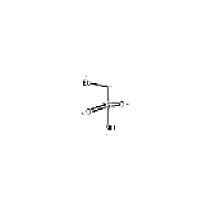 CCCS([NH])(=O)=O